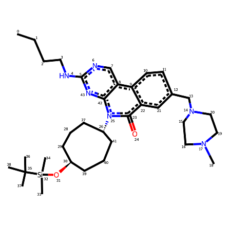 CCCCNc1ncc2c3ccc(CN4CCN(C)CC4)cc3c(=O)n([C@H]3CCC[C@H](O[Si](C)(C)C(C)(C)C)CCC3)c2n1